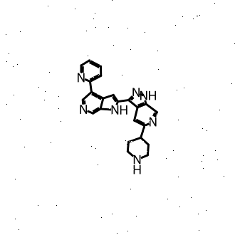 c1ccc(-c2cncc3[nH]c(-c4n[nH]c5cnc(C6CCNCC6)cc45)cc23)nc1